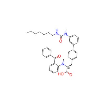 CCCCCCCNC(=O)N(C)c1cccc(-c2ccc(C[C@@H](C(=O)O)N(C)c3ccccc3C(=O)c3ccccc3)cc2)c1